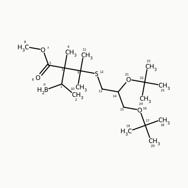 BC(C)C(C)(C(=O)OC)C(C)(C)SCC(COC(C)(C)C)OC(C)(C)C